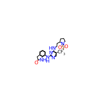 CS(=O)(=O)N1CCCC1CCNc1nc(Nc2cccc3c2NC(=O)C3)ncc1C(F)(F)F